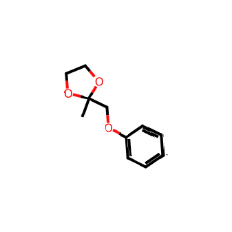 CC1(COc2cc[c]cc2)OCCO1